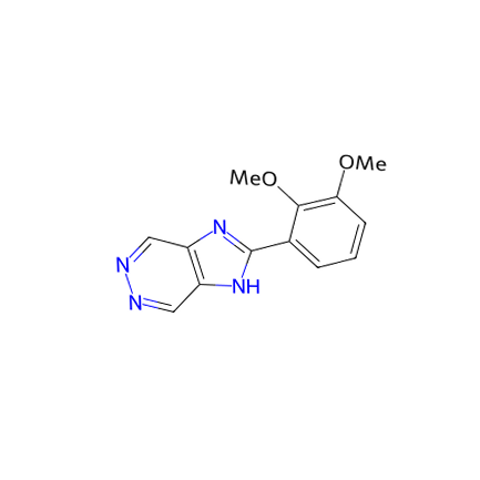 COc1cccc(-c2nc3cnncc3[nH]2)c1OC